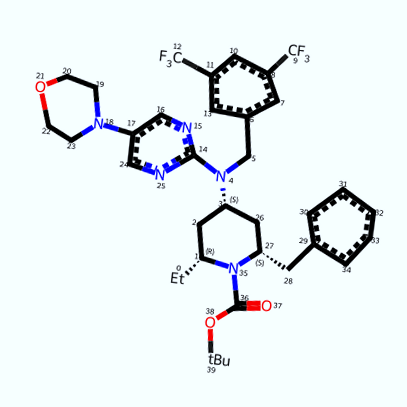 CC[C@@H]1C[C@H](N(Cc2cc(C(F)(F)F)cc(C(F)(F)F)c2)c2ncc(N3CCOCC3)cn2)C[C@H](Cc2ccccc2)N1C(=O)OC(C)(C)C